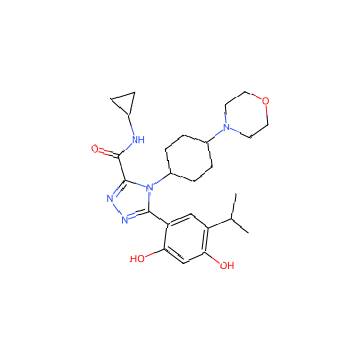 CC(C)c1cc(-c2nnc(C(=O)NC3CC3)n2C2CCC(N3CCOCC3)CC2)c(O)cc1O